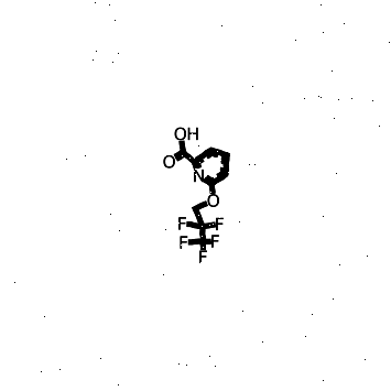 O=C(O)c1cccc(OCC(F)(F)C(F)(F)F)n1